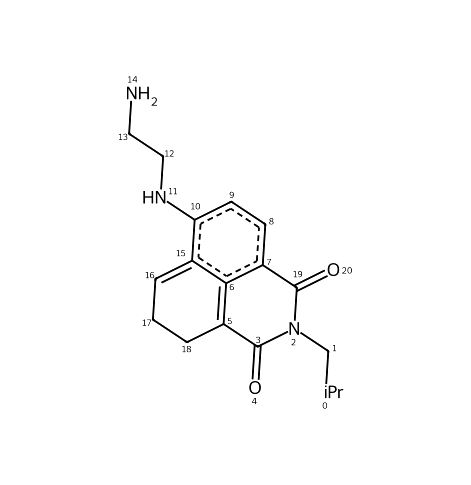 CC(C)CN1C(=O)C2=c3c(ccc(NCCN)c3=CCC2)C1=O